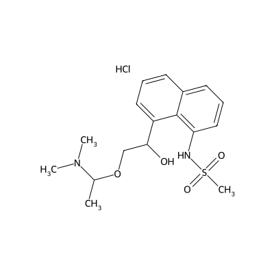 CC(OCC(O)c1cccc2cccc(NS(C)(=O)=O)c12)N(C)C.Cl